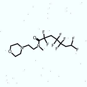 CN(CCN1CCOCC1)C(=O)C(F)(F)CC(F)(F)C(F)(F)CC(F)F